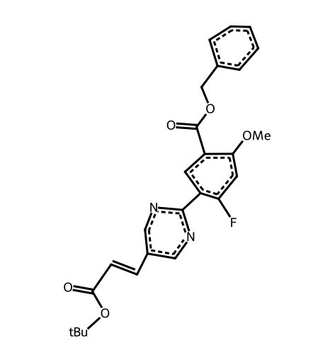 COc1cc(F)c(-c2ncc(C=CC(=O)OC(C)(C)C)cn2)cc1C(=O)OCc1ccccc1